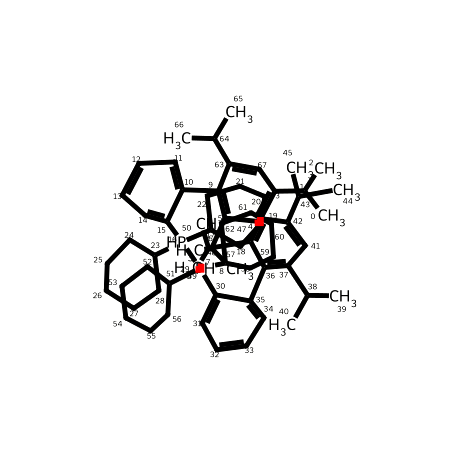 CC(C)c1cc(C(C)C)c(-c2ccccc2[PH](C2CCCCC2)(C2CCCCC2)[PH](c2ccccc2-c2c(C(C)C)cc(C(C)C)cc2C(C)C)(C2CCCCC2)C2CCCCC2)c(C(C)C)c1